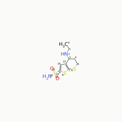 CCNC1CCSc2sc(S(N)(=O)=O)cc21